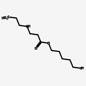 CC(C)CCCCCOC(=O)CCNCCC(=O)O